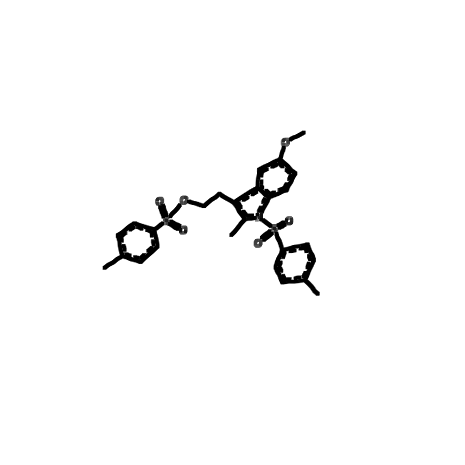 COc1ccc2c(c1)c(CCOS(=O)(=O)c1ccc(C)cc1)c(C)n2S(=O)(=O)c1ccc(C)cc1